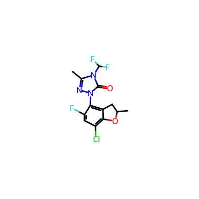 Cc1nn(-c2c(F)cc(Cl)c3c2CC(C)O3)c(=O)n1C(F)F